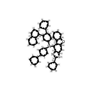 c1ccc(-c2ccc(N(c3ccc(-c4ccccc4)c(-c4cccc5ccccc45)c3)c3c4nc(-c5ccccc5)sc4cc4oc5ccccc5c34)cc2)cc1